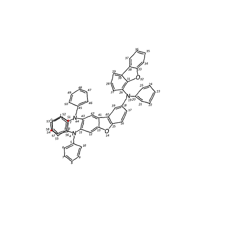 c1ccc(N(c2ccccc2)c2cc3oc4ccc(N(c5ccccc5)c5cccc6c5oc5ccccc56)cc4c3cc2N(c2ccccc2)c2ccccc2)cc1